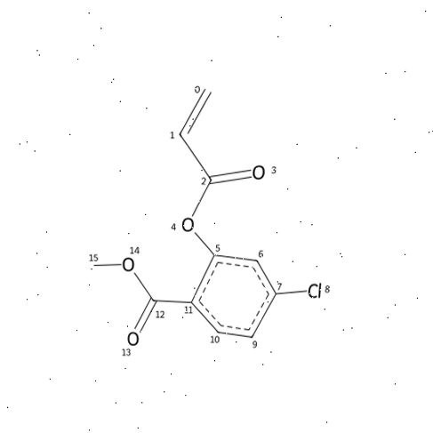 C=CC(=O)Oc1cc(Cl)ccc1C(=O)OC